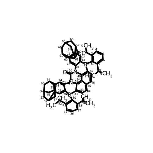 CC(C)c1cccc(C(C)C)c1B1c2cc3c(cc2N2C(=O)N4c5cc6c(cc5B(c5c(C(C)C)cccc5C(C)C)c5ccc7ccc1c2c7c54)C1CC2CC(C1)CC6C2)C1CC2CC(CC3C2)C1